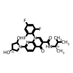 CC(C)[C@H](C)NC(=O)c1cn(-c2c(F)cc(F)cc2F)c2nc(N3C[C@@H](O)CC3O)ccc2c1=O